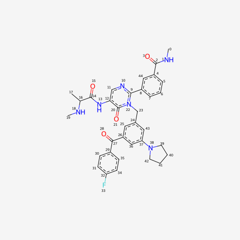 CNC(=O)c1cccc(-c2ncc(NC(=O)C(C)NC)c(=O)n2Cc2cc(C(=O)c3ccc(F)cc3)cc(N3CCCC3)c2)c1